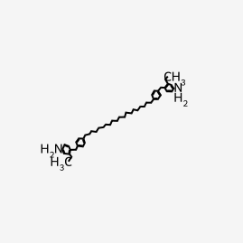 CCc1cc(N)ccc1Cc1ccc(CCCCCCCCCCCCCCCCCCCCc2ccc(Cc3ccc(N)cc3CC)cc2)cc1